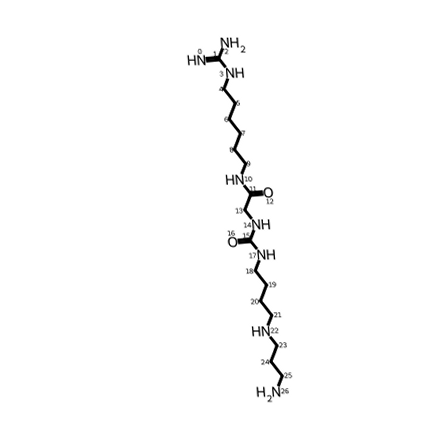 N=C(N)NCCCCCCNC(=O)CNC(=O)NCCCCNCCCN